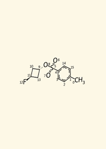 Cc1ccc(S(=O)(=O)O[C@H]2C[C@H](F)C2)cc1